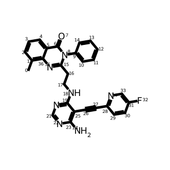 Cc1cccc2c(=O)n(-c3ccccc3)c(CCNc3ncnc(N)c3C#Cc3ccc(F)cn3)nc12